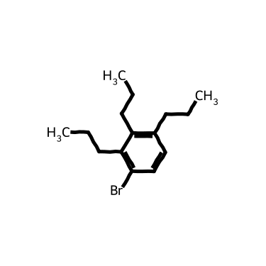 CCCc1ccc(Br)c(CCC)c1CCC